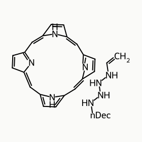 C1=Cc2cc3ccc(cc4nc(cc5ccc(cc1n2)[nH]5)C=C4)[nH]3.C=CNNNNCCCCCCCCCC